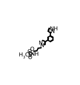 CS(=O)(=O)NC(=O)CCCn1cc(-c2cccc(-c3cc[nH]n3)c2)cn1